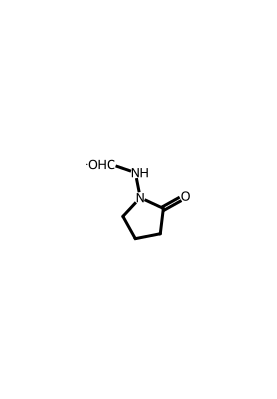 O=[C]NN1CCCC1=O